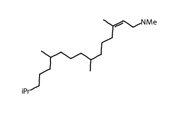 CNCC=C(C)CCCC(C)CCCC(C)CCCC(C)C